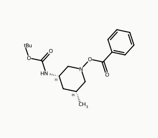 C[C@@H]1C[C@H](NC(=O)OC(C)(C)C)CN(OC(=O)c2ccccc2)C1